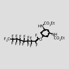 CCOC(=O)Nc1cc(NC(=O)OCC)cc(OC(F)=C(F)C(F)(F)C(F)(F)C(F)(F)C(F)(F)C(F)(F)C(F)(F)C(F)(F)F)c1